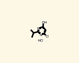 CC(C)c1nc(O)cc(Cl)n1.Cl